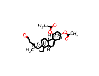 CC(=O)O[C@@H]1CC2=CC[C@H]3[C@@H]4CC[C@H]([C@H](C)CCC=O)[C@@]4(C)CC[C@@H]3[C@@]2(C)[C@@H](OC(C)=O)C1